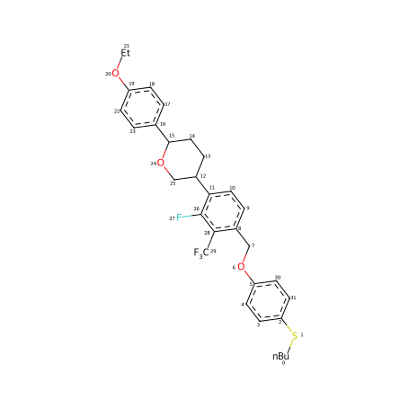 CCCCSc1ccc(OCc2ccc(C3CCC(c4ccc(OCC)cc4)OC3)c(F)c2C(F)(F)F)cc1